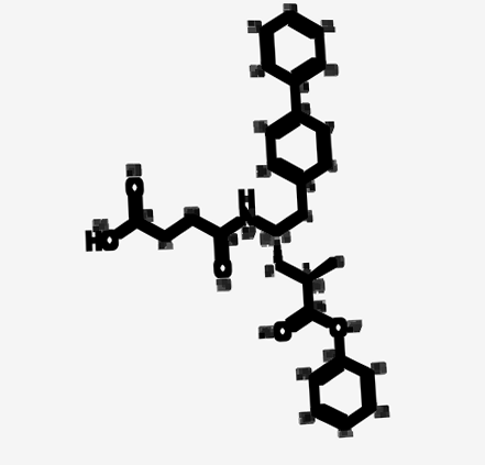 C[C@H](C[C@@H](Cc1ccc(-c2ccccc2)cc1)NC(=O)CCC(=O)O)C(=O)Oc1ccccc1